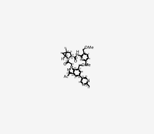 COCc1ccc(Br)nc1NC(=O)[C@@H]1C[C@@]2(C)C[C@H]2N1C(=O)Cn1nc(C(C)=O)c2cc(-c3cnc(C)nc3)cc(COC)c21